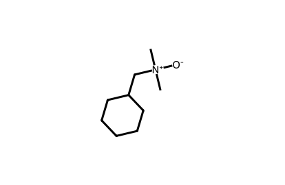 C[N+](C)([O-])CC1CCCCC1